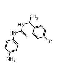 CC(NC(=S)Nc1ccc(N)cc1)c1ccc(Br)cc1